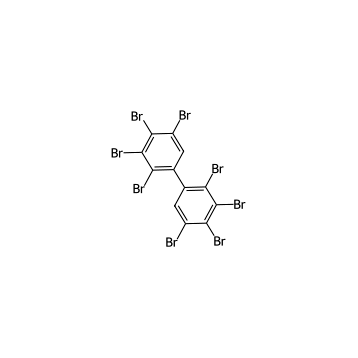 Brc1cc(-c2cc(Br)c(Br)c(Br)c2Br)c(Br)c(Br)c1Br